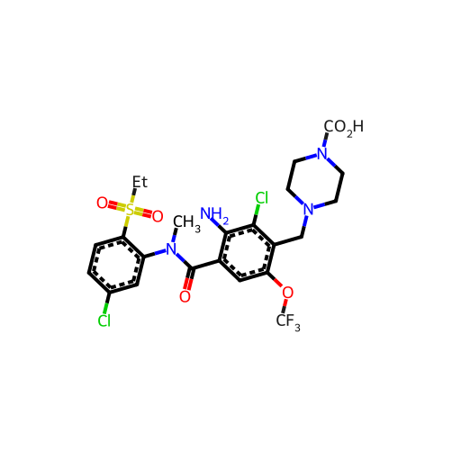 CCS(=O)(=O)c1ccc(Cl)cc1N(C)C(=O)c1cc(OC(F)(F)F)c(CN2CCN(C(=O)O)CC2)c(Cl)c1N